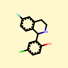 Oc1ccc(Cl)cc1C1NCCc2cc(F)ccc21